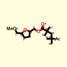 COCC1CCC(COC(=O)C(C)(C)CC(C)(C)C(C)=O)O1